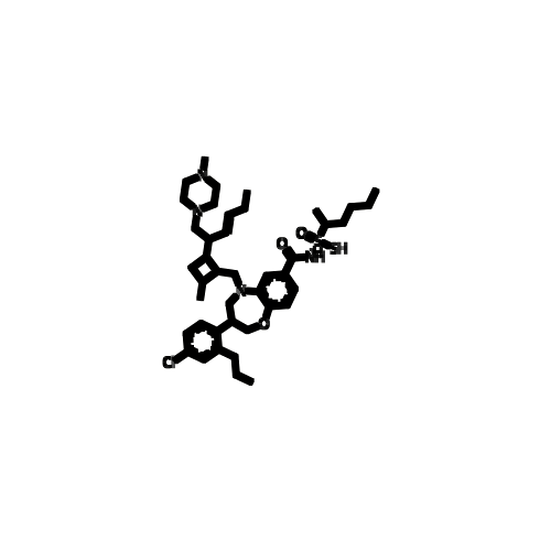 CC/C=C/C(CN1CCN(C)CC1)C1CC(C)C1CN1CC(c2ccc(Cl)cc2CCC)COc2ccc(C(=O)N[SH](=O)(S)C(C)CCCC)cc21